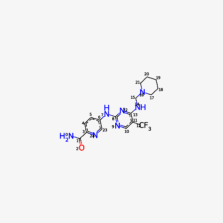 NC(=O)c1ccc(Nc2ncc(C(F)(F)F)c(NCN3CCCCC3)n2)cn1